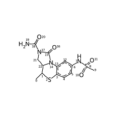 CC1Sc2ccc(NS(C)(=O)=O)cc2N2C(=O)N(C(N)=O)CC12